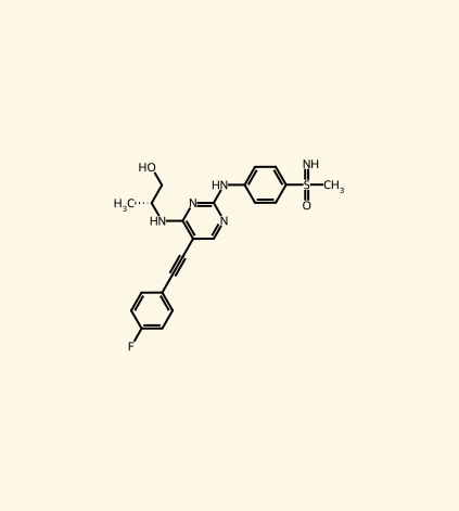 C[C@H](CO)Nc1nc(Nc2ccc(S(C)(=N)=O)cc2)ncc1C#Cc1ccc(F)cc1